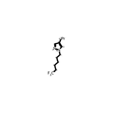 CC(C)c1cnn(CCCCCC(F)(F)F)c1